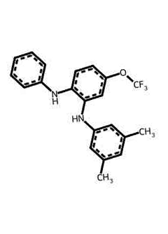 Cc1cc(C)cc(Nc2cc(OC(F)(F)F)ccc2Nc2ccccc2)c1